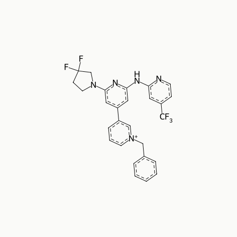 FC1(F)CCN(c2cc(-c3ccc[n+](Cc4ccccc4)c3)cc(Nc3cc(C(F)(F)F)ccn3)n2)C1